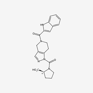 O=C(O)[C@@H]1CCCN1C(=O)n1ncc2c1CCN(C(=O)c1cc3ccccc3[nH]1)C2